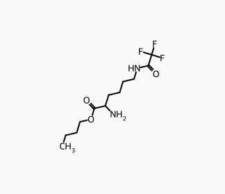 CCCCOC(=O)C(N)CCCCNC(=O)C(F)(F)F